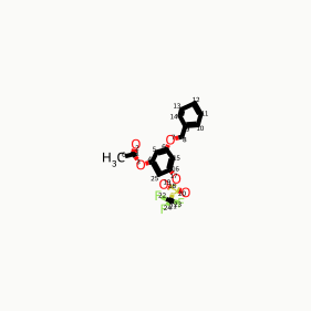 CC(=O)Oc1cc(OCc2ccccc2)cc(OS(=O)(=O)C(F)(F)F)c1